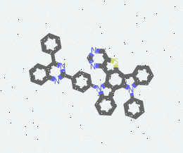 c1ccc(-c2nc(-c3ccc(-n4c5ccccc5c5c6c(c7ccccc7n6-c6ccccc6)c6sc7cncnc7c6c54)cc3)nc3ccccc23)cc1